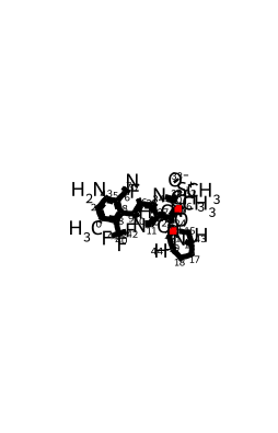 Cc1cc(N)c(C#N)c(-c2ncc3c(N4C[C@H]5CC[C@@H](C4)N5C(=O)OC(C)(C)C)nc([S+](C)[O-])nc3c2F)c1C(F)(F)F